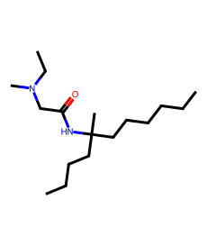 CCCCCCC(C)(CCCC)NC(=O)CN(C)CC